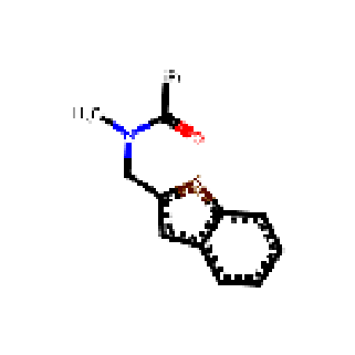 CC(C)C(=O)N(C)Cc1cc2ccccc2s1